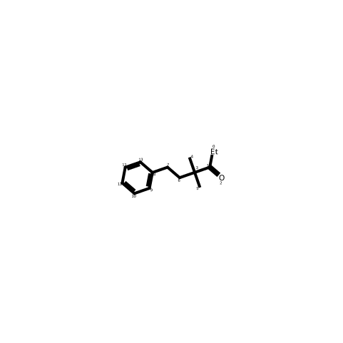 CCC(=O)C(C)(C)CCc1ccccc1